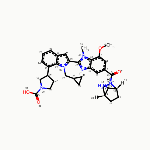 COc1cc(C(=O)N2C[C@H]3CC[C@@H]2[C@@H]3N)cc2nc(-c3cc4cccc(C5CCN(C(=O)O)C5)c4n3CC3CC3)n(C)c12